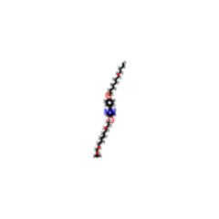 CCCCCCCCCCCCOc1ccc(-c2ncc(OCCCCCCCCCCCC3CC3)cn2)cc1